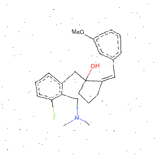 COc1cccc(C=C2CCCC2(O)Cc2cccc(F)c2CN(C)C)c1